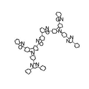 c1ccc(-c2cnc(-c3ccc(-n4c5ccc(-c6nc7ccccc7o6)cc5c5cc(-c6nc7cccc(-c8ccc9oc(-c%10ccc%11c(c%10)c%10cc(-c%12nc%13ccccc%13o%12)ccc%10n%11-c%10ccc(-c%11nc(-c%12ccccc%12)cc(-c%12ccccc%12)n%11)cc%10)nc9c8)c7o6)ccc54)cc3)nc2)cc1